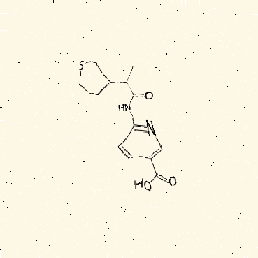 CC(C(=O)Nc1ccc(C(=O)O)cn1)C1CCSC1